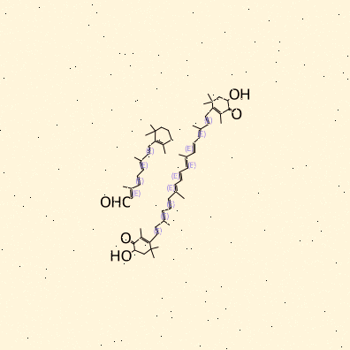 CC1=C(/C=C/C(C)=C/C=C/C(C)=C/C=C/C=C(C)/C=C/C=C(C)/C=C/C2=C(C)C(=O)C(O)CC2(C)C)C(C)(C)CC(O)C1=O.CC1=C(/C=C/C(C)=C/C=C/C(C)=C/C=O)C(C)(C)CCC1